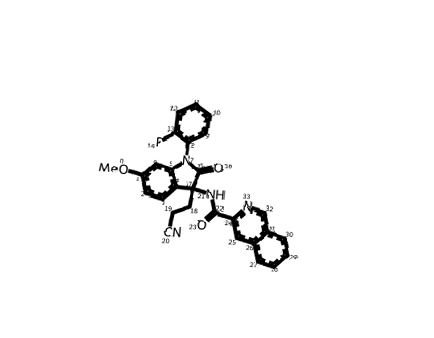 COc1ccc2c(c1)N(c1ccccc1F)C(=O)C2(CCC#N)NC(=O)c1cc2ccccc2cn1